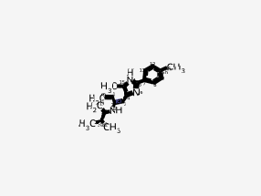 C=C/C(=C\c1nc(-c2ccc(C)cc2)[nH]c1C)NC(=C)C(C)C